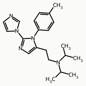 Cc1ccc(-n2c(CCN(C(C)C)C(C)C)cnc2-n2ccnc2)cc1